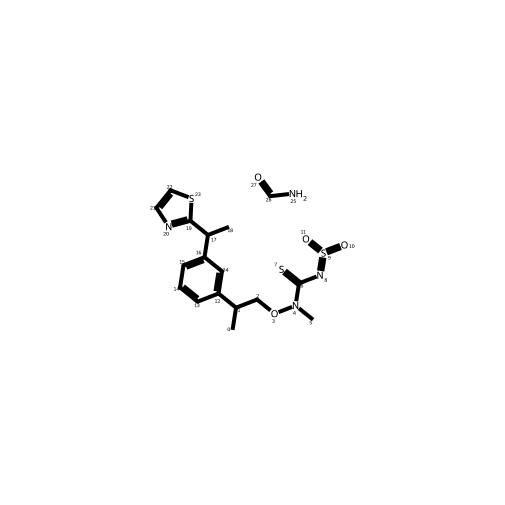 CC(CON(C)C(=S)N=S(=O)=O)c1cccc(C(C)c2nccs2)c1.NC=O